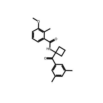 COc1cccc(C(=O)NC2(C(=O)c3cc(C)cc(C)c3)CCC2)c1C